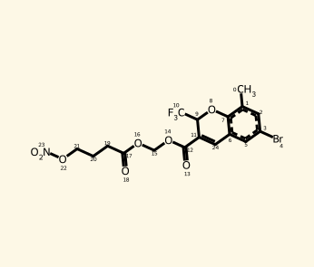 Cc1cc(Br)cc2c1OC(C(F)(F)F)C(C(=O)OCOC(=O)CCCO[N+](=O)[O-])=C2